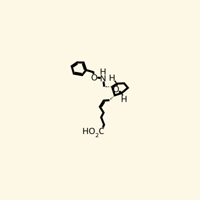 O=C(O)CCC/C=C\C[C@@H]1[C@H](CNOCc2ccccc2)[C@@H]2CC[C@H]1O2